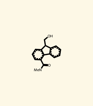 [CH2]NC(=O)c1cccc2c1-c1ccccc1C2CO